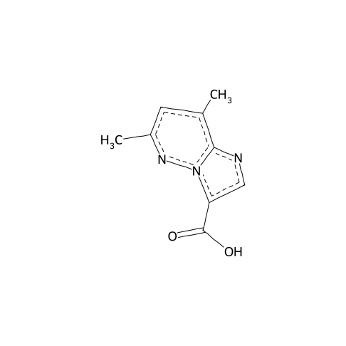 Cc1cc(C)c2ncc(C(=O)O)n2n1